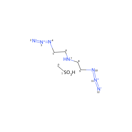 CS(=O)(=O)O.[N-]=[N+]=NCCNCCN=[N+]=[N-]